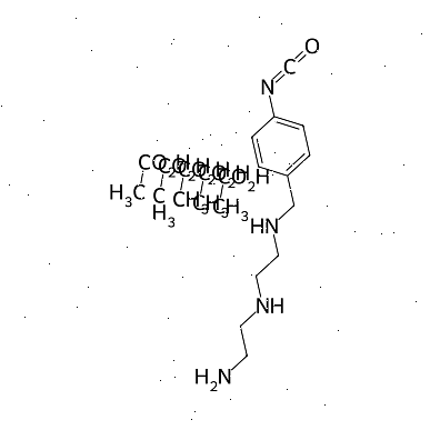 CC(=O)O.CC(=O)O.CC(=O)O.CC(=O)O.CC(=O)O.NCCNCCNCc1ccc(N=C=O)cc1